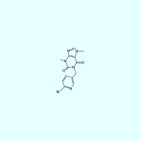 Cn1cnc2c1c(=O)n(Cc1ccc(Br)nc1)c(=O)n2C